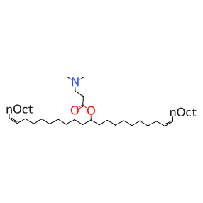 CCCCCCCC/C=C\CCCCCCCCC(CCCCCCCC/C=C\CCCCCCCC)OC(=O)CCN(C)C